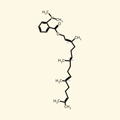 CC(C)=CCC/C(C)=C/CC/C(C)=C/CC/C(C)=C/COC(=O)c1ccccc1N(C)C